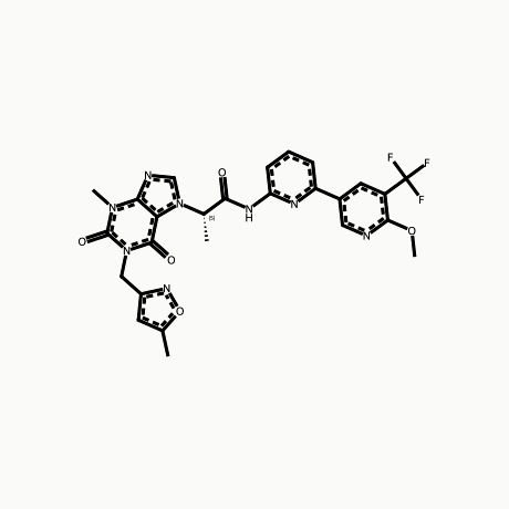 COc1ncc(-c2cccc(NC(=O)[C@H](C)n3cnc4c3c(=O)n(Cc3cc(C)on3)c(=O)n4C)n2)cc1C(F)(F)F